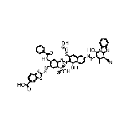 Cc1c(N=Nc2ccc3c(O)c(N=Nc4cc(NC(=O)c5ccccc5)c(N=Nc5nc6ccc(C(=O)O)cc6s5)cc4S(=O)(=O)O)c(SOOO)cc3c2)c(O)n2c(nc3ccccc32)c1C#N